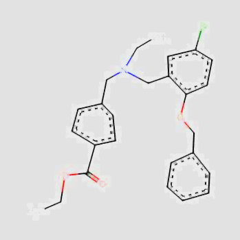 CCOC(=O)c1ccc(CN(CC)Cc2cc(Br)ccc2OCc2ccccc2)cc1